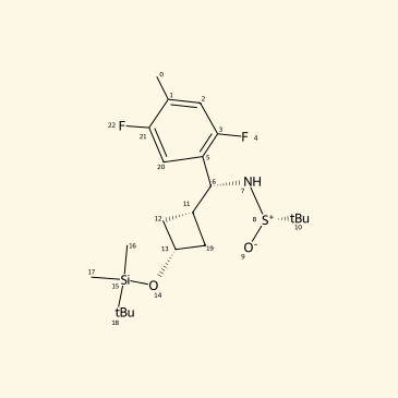 Cc1cc(F)c([C@H](N[S@@+]([O-])C(C)(C)C)[C@H]2C[C@@H](O[Si](C)(C)C(C)(C)C)C2)cc1F